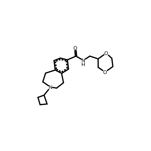 O=C(NCC1COCCO1)c1ccc2c(c1)CCN(C1CCC1)CC2